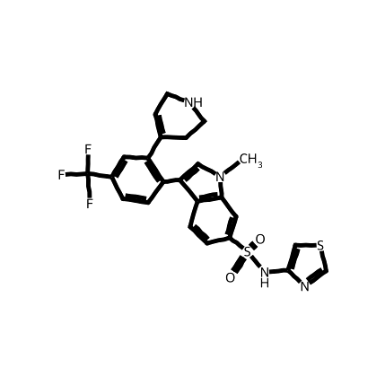 Cn1cc(-c2ccc(C(F)(F)F)cc2C2=CCNCC2)c2ccc(S(=O)(=O)Nc3cscn3)cc21